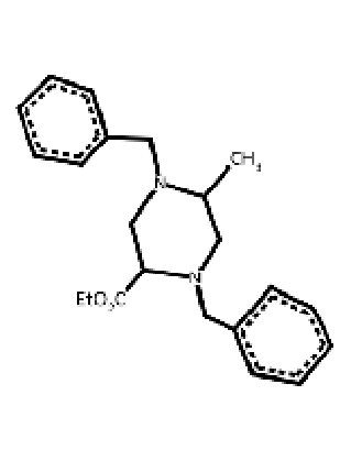 CCOC(=O)C1CN(Cc2ccccc2)C(C)CN1Cc1ccccc1